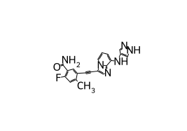 Cc1cc(F)c(C(N)=O)cc1C#Cc1cnc2c(Nc3cn[nH]c3)cccn12